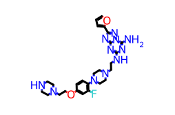 Nc1nc(NCCN2CCN(c3ccc(OCCN4CCNCC4)cc3F)CC2)nc2nc(-c3ccco3)nn12